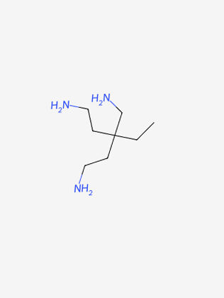 CCC(CN)(CCN)CCN